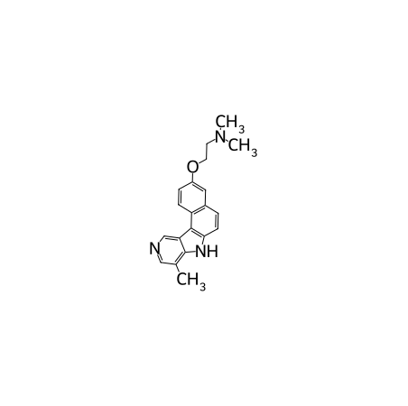 Cc1cncc2c1[nH]c1ccc3cc(OCCN(C)C)ccc3c12